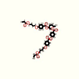 C=CC(=O)OCCCCOc1ccc(C(=O)OC(=C)/C=C\C(=C)OC(=O)c2ccc(OC(=O)c3ccc(OCCCCOC(=O)C=C)cc3)cc2)cc1